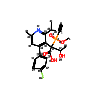 C#CP(=O)(OC)C(C(=O)O)(c1c(-c2ccc(F)cc2)cc(C)nc1C(C)C)C(C)O